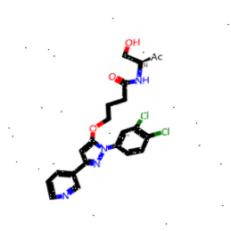 CC(=O)[C@H](CO)NC(=O)CCCOc1cc(-c2cccnc2)nn1-c1ccc(Cl)c(Cl)c1